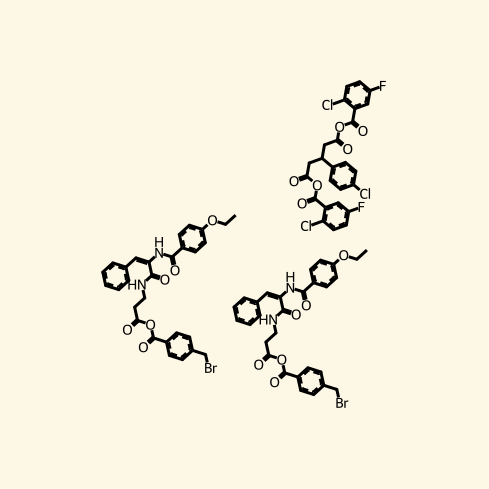 CCOc1ccc(C(=O)NC(=Cc2ccccc2)C(=O)NCCC(=O)OC(=O)c2ccc(CBr)cc2)cc1.CCOc1ccc(C(=O)NC(=Cc2ccccc2)C(=O)NCCC(=O)OC(=O)c2ccc(CBr)cc2)cc1.O=C(CC(CC(=O)OC(=O)c1cc(F)ccc1Cl)c1ccc(Cl)cc1)OC(=O)c1cc(F)ccc1Cl